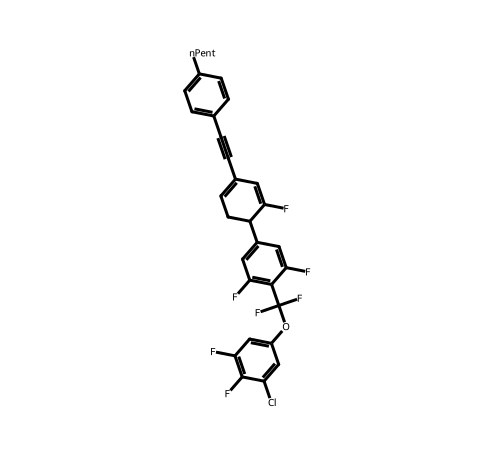 CCCCCc1ccc(C#CC2=CCC(c3cc(F)c(C(F)(F)Oc4cc(F)c(F)c(Cl)c4)c(F)c3)C(F)=C2)cc1